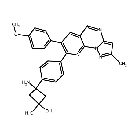 COc1ccc(-c2cc3cnc4cc(C)nn4c3nc2-c2ccc(C3(N)CC(C)(O)C3)cc2)cc1